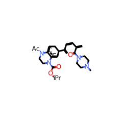 C=C(/C=C\C(=C)C1CC2=C3C(=C1CCC2)N(C(=O)OC(C)C)CCN3C(C)=O)C(=O)N1CCN(C)CC1